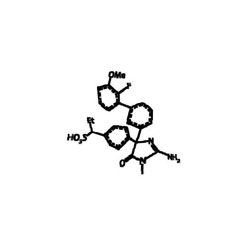 CCC(c1ccc(C2(c3cccc(-c4cccc(OC)c4F)c3)N=C(N)N(C)C2=O)cc1)S(=O)(=O)O